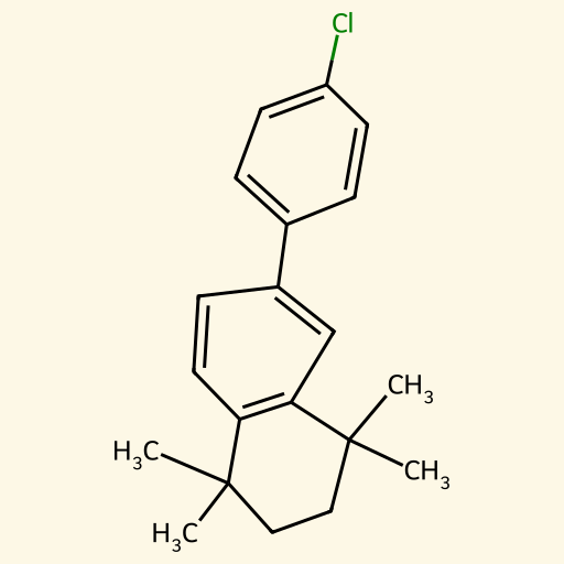 CC1(C)CCC(C)(C)c2cc(-c3ccc(Cl)cc3)ccc21